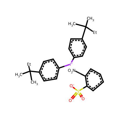 CCC(C)(C)c1ccc([I+]c2ccc(C(C)(C)CC)cc2)cc1.O=[N+]([O-])c1ccccc1S(=O)(=O)[O-]